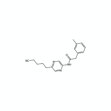 Cc1cccc(CC(=O)Nc2cnc(CCCCC#N)cn2)c1